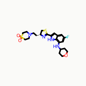 O=S1(=O)CCN(CC[C@@H]2CSC(c3cc4cc(F)cc(NC5CCOCC5)c4[nH]3)=N2)CC1